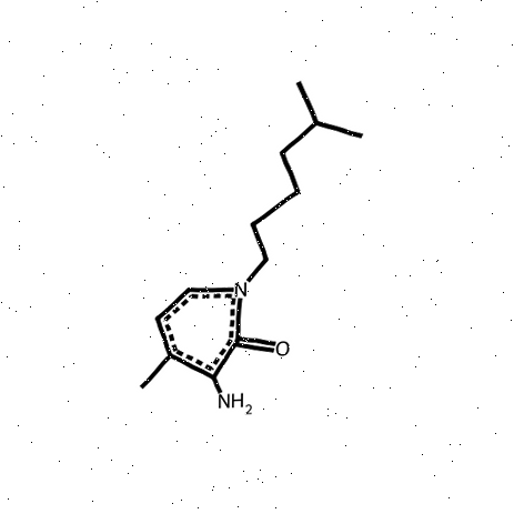 Cc1ccn(CCCCC(C)C)c(=O)c1N